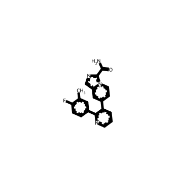 Cc1cc(-c2ncccc2-c2ccn3c(C(N)=O)ncc3c2)ccc1F